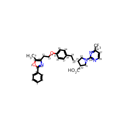 Cc1oc(-c2ccccc2)nc1CCOc1ccc(CC[C@@H]2CN(c3nccc(C(F)(F)F)n3)C[C@@H]2C(=O)O)cc1